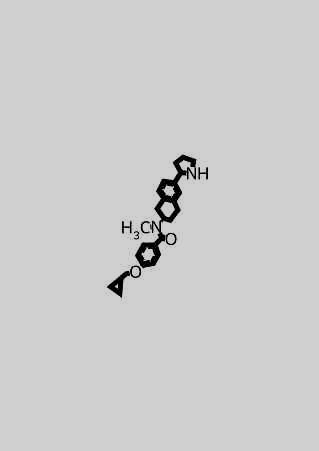 CN(C(=O)c1ccc(OCC2CC2)cc1)[C@@H]1CCc2cc(C3CCCN3)ccc2C1